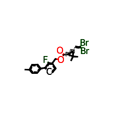 Cc1ccc(-c2cccc(COC(=O)[C@@H]3[C@H](C=C(Br)Br)C3(C)C)c2F)cc1